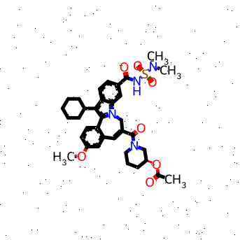 COc1ccc2c(c1)C=C(C(=O)N1CCC[C@H](OC(C)=O)C1)Cn1c-2c(C2CCCCC2)c2ccc(C(=O)NS(=O)(=O)N(C)C)cc21